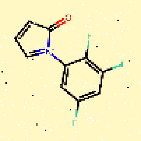 O=C1C=CC=[N+]1c1cc(F)cc(F)c1F